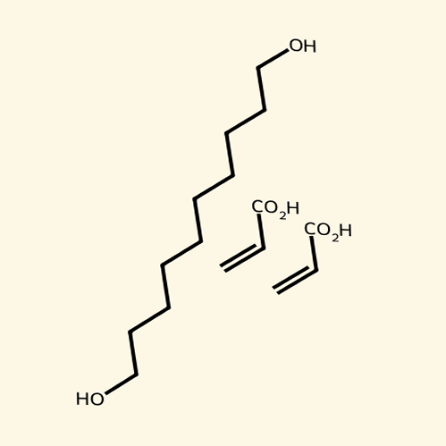 C=CC(=O)O.C=CC(=O)O.OCCCCCCCCCCO